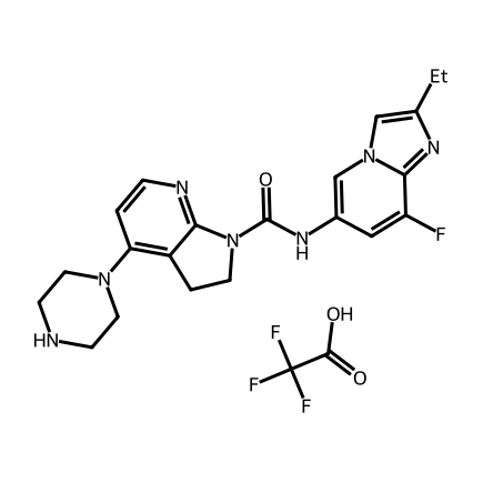 CCc1cn2cc(NC(=O)N3CCc4c(N5CCNCC5)ccnc43)cc(F)c2n1.O=C(O)C(F)(F)F